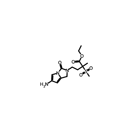 CCOC(=O)C(C)(CCN1Cc2cc(N)cn2C1=O)S(C)(=O)=O